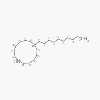 CCCCCCCCCCC1CCCCCCNCCCCC1